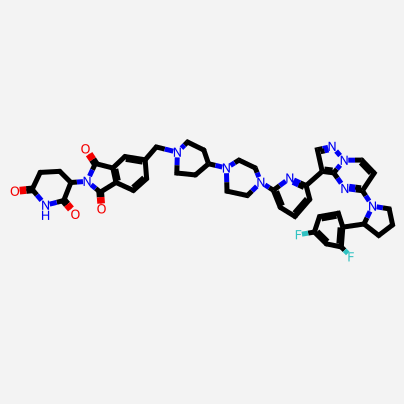 O=C1CCC(N2C(=O)c3ccc(CN4CCC(N5CCN(c6cccc(-c7cnn8ccc(N9CCCC9c9ccc(F)cc9F)nc78)n6)CC5)CC4)cc3C2=O)C(=O)N1